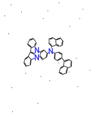 c1ccc2c(-c3ccc(N(c4ccc5c(c4)n4c6ccccc6c6c7ccccc7n5c64)c4cccc5ccccc45)cc3)cccc2c1